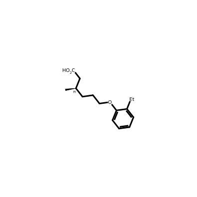 CCc1ccccc1OCCC[C@@H](C)CC(=O)O